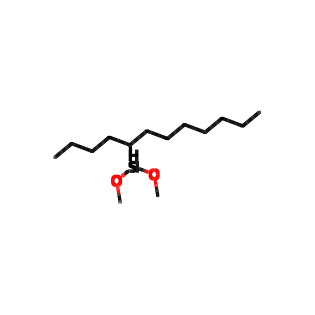 CCCCCCCC(CCCC)[SiH](OC)OC